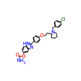 NC(=O)Oc1ccc2[nH]c(-c3ccc(OCCC4CCCCN4Cc4ccc(Cl)cc4)cc3)nc2c1